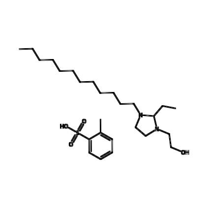 CCCCCCCCCCCCN1CCN(CCO)C1CC.Cc1ccccc1S(=O)(=O)O